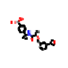 CC(C)C(OCc1cccc(C2COC2)c1)C(=O)NC1(c2ccc(C(O)O)cc2)CC1